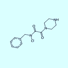 O=C(C(=O)N1CCNCC1)N(Cl)Cc1ccccc1